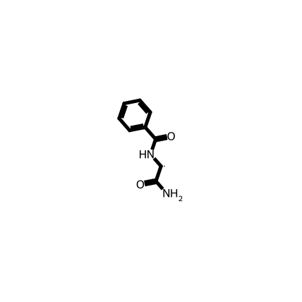 NC(=O)[CH]NC(=O)c1ccccc1